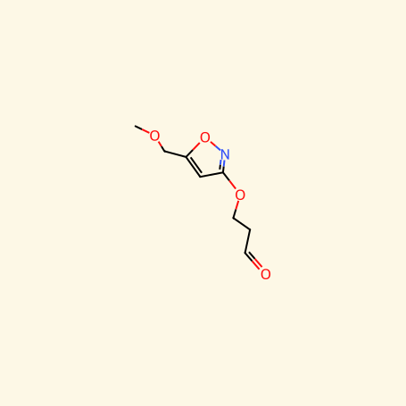 COCc1cc(OCCC=O)no1